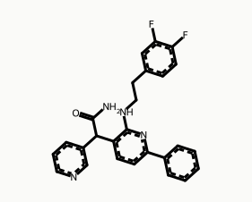 NC(=O)C(c1cccnc1)c1ccc(-c2ccccc2)nc1NCCc1ccc(F)c(F)c1